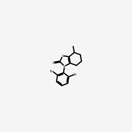 CC1CCCc2c1sc(=S)n2-c1c(Br)cccc1Br